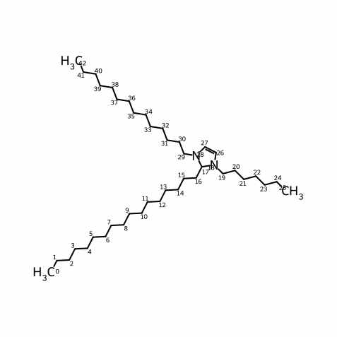 CCCCCCCCCCCCCCCCCC1N(CCCCCCC)C=CN1CCCCCCCCCCCCCC